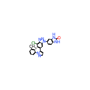 Cc1cccc(-n2nccc2-c2cc(Cl)c3nnn(-c4ccc5[nH]c(=O)[nH]c5c4)c3c2)c1